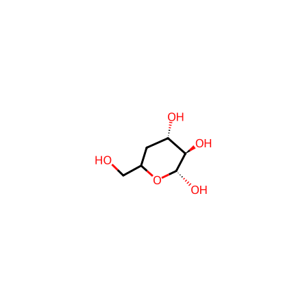 OCC1C[C@H](O)[C@@H](O)[C@H](O)O1